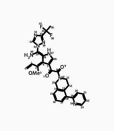 C=C/C(OC)=c1/c(C(=O)C(=O)N2CCc3c(cccc3-c3ccccn3)C2)c[nH]/c1=C(/N)n1cnc(C(C)(F)F)n1